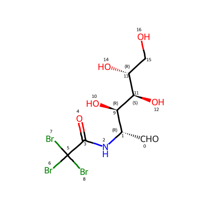 O=C[C@H](NC(=O)C(Br)(Br)Br)[C@@H](O)[C@H](O)[C@H](O)CO